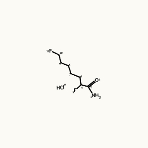 Cl.NC(=O)C(F)CCCCCF